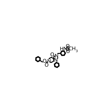 CS(=O)(=O)Nc1cccc(CN2CN(c3ccccc3)C3(CCN(C(=O)OCc4ccccc4)CC3)C2=O)c1